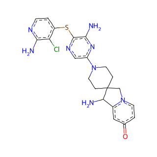 Nc1nc(N2CCC3(CC2)Cn2ccc(=O)cc2C3N)cnc1Sc1ccnc(N)c1Cl